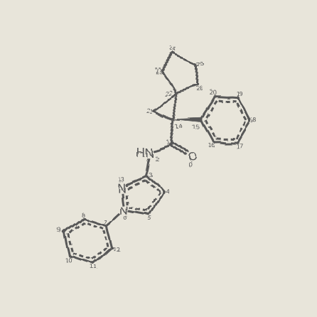 O=C(Nc1ccn(-c2ccccc2)n1)[C@]1(c2ccccc2)CC12CCCC2